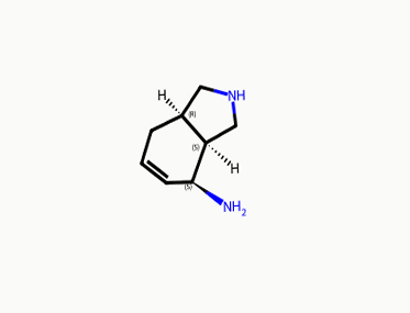 N[C@H]1C=CC[C@H]2CNC[C@H]21